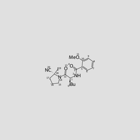 CCC(C)[C@H](NC(=O)c1ccccc1OC)C(=O)N1C[CH][CH][C@]1(I)C#N